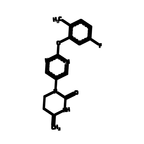 C=C1CCN(c2cnc(Oc3cc(F)ccc3C)nc2)C(=O)N1